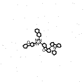 c1ccc(-n2c3ccccc3c3cccc(-c4cccc5oc6cc(C7=NC(c8ccc9ccccc9c8)=NC(c8ccc9c(c8)oc8ccccc89)N7)ccc6c45)c32)cc1